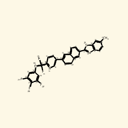 Cc1ccc2nc(-c3ccc4cc(-c5ccc(C(F)(F)Oc6cc(F)c(F)c(F)c6)nc5)ccc4c3)sc2c1